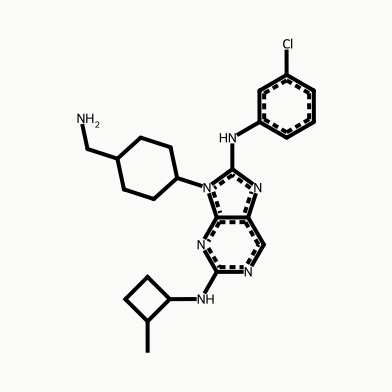 CC1CCC1Nc1ncc2nc(Nc3cccc(Cl)c3)n(C3CCC(CN)CC3)c2n1